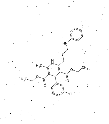 CCOC(=O)C1=C(C)NC(CSCNc2ccccc2)=C(C(=O)OCC)C1c1cccc(Cl)c1